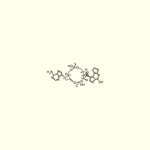 Nc1ncnc2c1ncn2[C@@H]1C/C2=C/OP(O)(=S)O[C@@H]3[C@H](O)[C@@H](COP(O)(=S)OC[C@H]21)O[C@H]3n1cnc2c(O)nc3nccn3c21